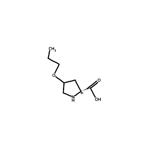 CCCOC1CN[C@@H](C(=O)O)C1